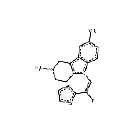 Cc1ccc2c(c1)c1c(n2/C=C(/F)c2cccs2)CCN(C)C1